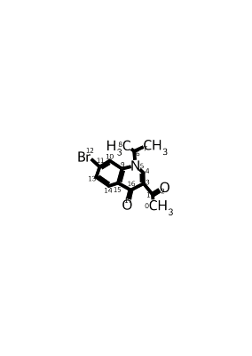 CC(=O)c1cn(C(C)C)c2cc(Br)ccc2c1=O